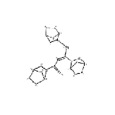 O=C(C=C(NC1CC2CCC1C2)C1CC2CCC1C2)C1CC2CCC1C2